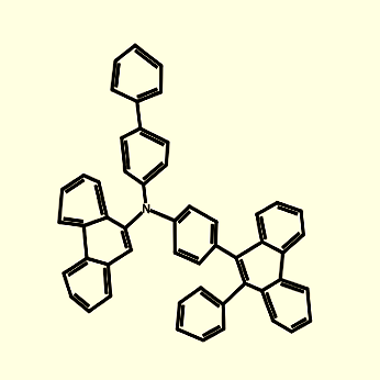 c1ccc(-c2ccc(N(c3ccc(-c4c(-c5ccccc5)c5ccccc5c5ccccc45)cc3)c3cc4ccccc4c4ccccc34)cc2)cc1